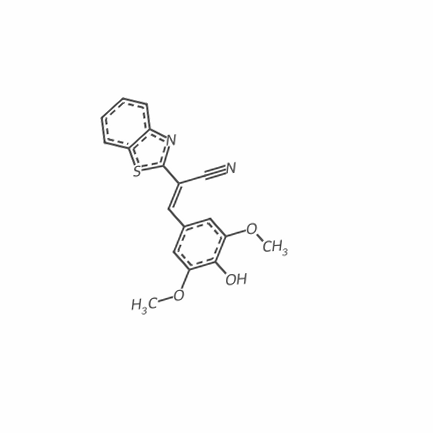 COc1cc(C=C(C#N)c2nc3ccccc3s2)cc(OC)c1O